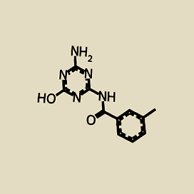 Cc1cccc(C(=O)Nc2nc(N)nc(O)n2)c1